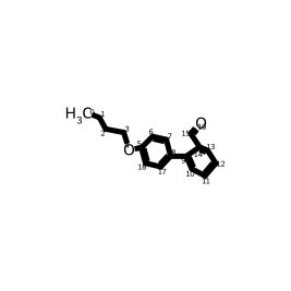 CCCCOc1ccc(-c2ccccc2[C]=O)cc1